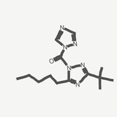 CCCCCc1nc(C(C)(C)C)nn1C(=O)n1cncn1